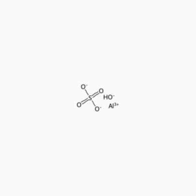 O=S(=O)([O-])[O-].[Al+3].[OH-]